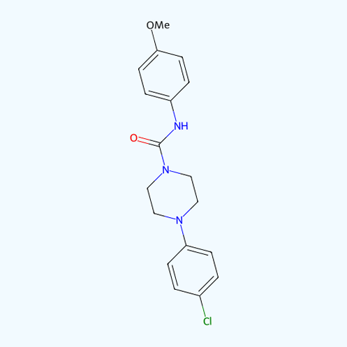 COc1ccc(NC(=O)N2CCN(c3ccc(Cl)cc3)CC2)cc1